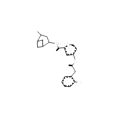 CC1CC(NC(=O)c2cc(NC(=O)Cc3ccccc3Cl)ccn2)C2CC1C2